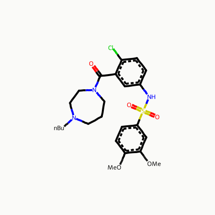 CCCCN1CCCN(C(=O)c2cc(NS(=O)(=O)c3ccc(OC)c(OC)c3)ccc2Cl)CC1